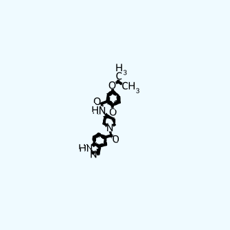 CC(C)Oc1ccc2c(c1)C(=O)NC1(CCN(C(=O)c3ccc4[nH]ncc4c3)CC1)O2